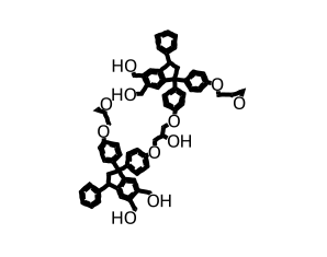 OCc1cc2c(cc1CO)C(c1ccc(OCC(O)COc3ccc(C4(c5ccc(OCC6CO6)cc5)CC(c5ccccc5)c5cc(CO)c(CO)cc54)cc3)cc1)(c1ccc(OCC3CO3)cc1)CC2c1ccccc1